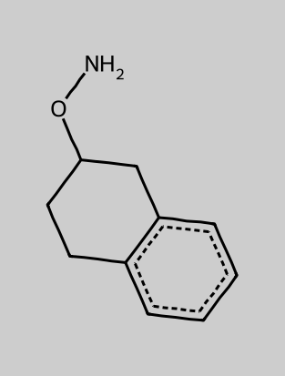 NOC1CCc2ccccc2C1